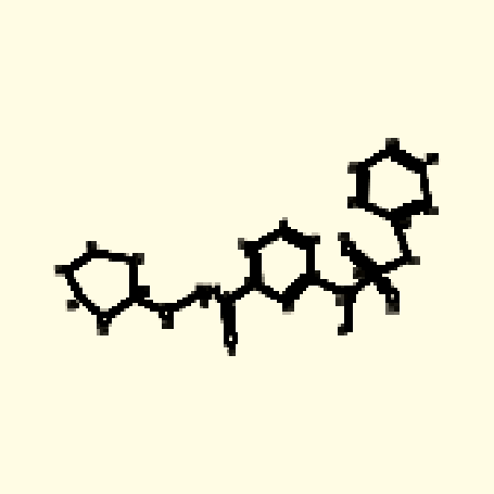 CN(c1ccnc(C(=O)NOC2CCCCO2)c1)S(=O)(=O)Cc1ccccc1